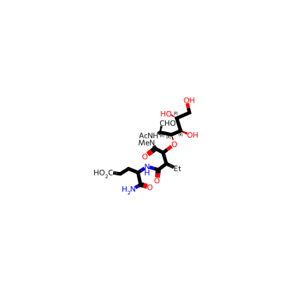 CCC(C(=O)NC(CCC(=O)O)C(N)=O)C(O[C@@H]([C@H](O)[C@H](O)CO)[C@H](C=O)NC(C)=O)C(=O)NC